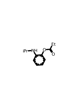 CCC(=O)Oc1ccccc1NC(C)C